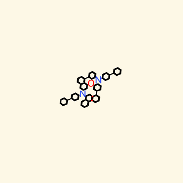 c1ccc(-c2ccc(N(c3ccc(-c4ccccc4)cc3)c3cccc4c3Oc3cc(N(c5ccc(-c6ccccc6)cc5)c5cccc6ccccc56)cc5cccc-4c35)cc2)cc1